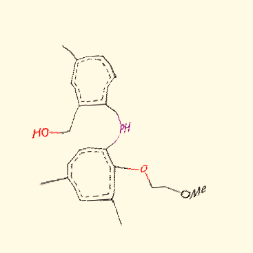 COCOc1c(C)cc(C)cc1Pc1ccc(C)cc1CO